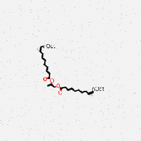 CCCCCCCC/C=C\CCCCCCCC(=O)OCC(C)OC(=O)CCCCCCC/C=C\CCCCCCCC